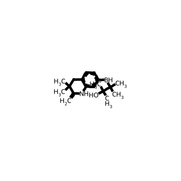 C=C1Nc2cc(BC(C)(C)C(C)(C)O)ccc2CC1(C)C